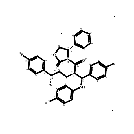 Cc1ccc([C@@H](Nc2ccc(F)cc2)[C@@H](CC[C@H](C)c2ccc(F)cc2)C(=O)N2C(=O)OC[C@@H]2c2ccccc2)cc1